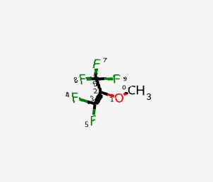 COC(=C(F)F)C(F)(F)F